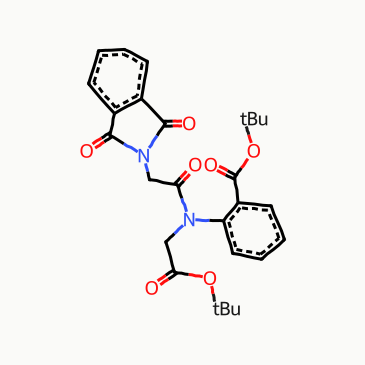 CC(C)(C)OC(=O)CN(C(=O)CN1C(=O)c2ccccc2C1=O)c1ccccc1C(=O)OC(C)(C)C